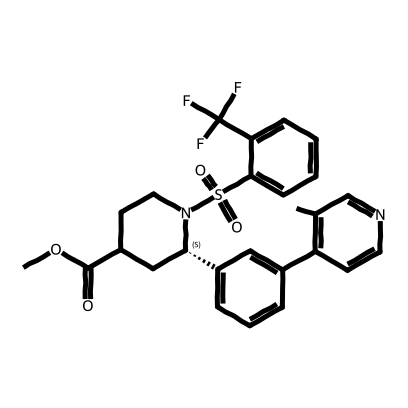 COC(=O)C1CCN(S(=O)(=O)c2ccccc2C(F)(F)F)[C@H](c2cccc(-c3ccncc3C)c2)C1